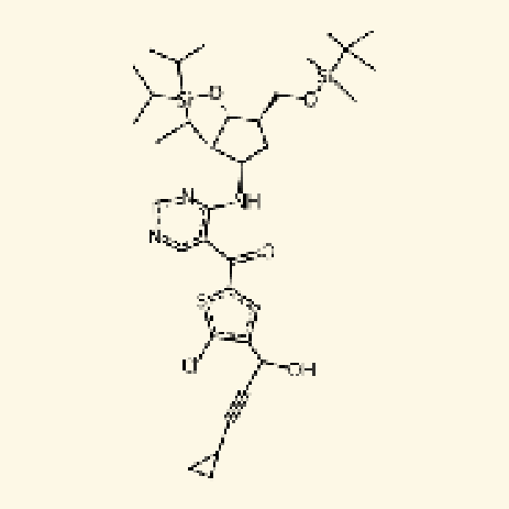 CC(C)[Si](O[C@H]1C[C@H](Nc2ncncc2C(=O)c2cc(C(O)C#CC3CC3)c(Cl)s2)C[C@@H]1CO[Si](C)(C)C(C)(C)C)(C(C)C)C(C)C